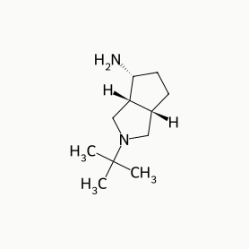 CC(C)(C)N1C[C@H]2CC[C@@H](N)[C@H]2C1